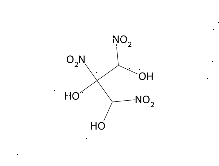 O=[N+]([O-])C(O)C(O)(C(O)[N+](=O)[O-])[N+](=O)[O-]